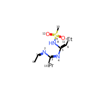 C\C=N/C(=N\C(=C\CC)NS(C)(=O)=O)C(C)C